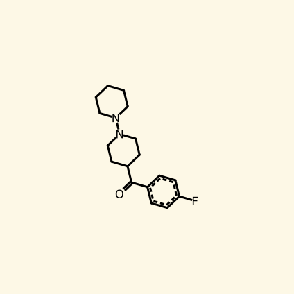 O=C(c1ccc(F)cc1)C1CCN(N2CCCCC2)CC1